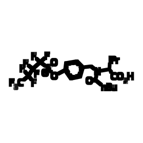 CCCCC(=O)N(Cc1ccc(OS(=O)(=O)C(F)(F)C(F)(F)C(F)(F)C(F)(F)F)cc1)[C@H](C(=O)O)C(C)C